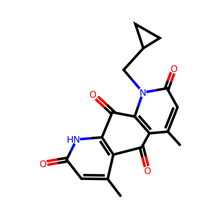 Cc1cc(=O)[nH]c2c1C(=O)c1c(C)cc(=O)n(CC3CC3)c1C2=O